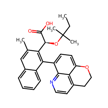 CCC(C)(C)O[C@H](C(=O)O)c1c(C)cc2ccccc2c1-c1ccc2c3c(ccnc13)CCO2